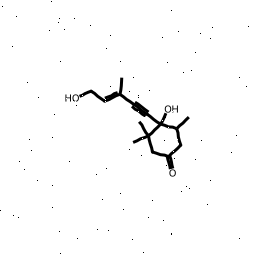 CC(C#CC1(O)C(C)CC(=O)CC1(C)C)=CCO